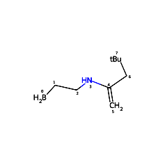 BCCNC(=C)CC(C)(C)C